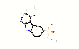 CCOC(=O)c1ncc2[nH]c3ccc(P(=O)(OCC)OCC)cc3c2c1C